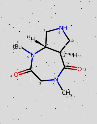 CN1CC(=O)N(C(C)(C)C)[C@@H]2CNC[C@H]2C1=O